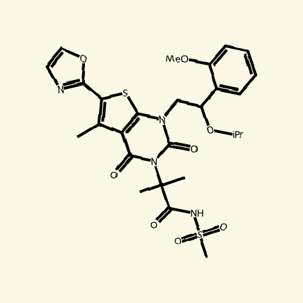 COc1ccccc1C(Cn1c(=O)n(C(C)(C)C(=O)NS(C)(=O)=O)c(=O)c2c(C)c(-c3ncco3)sc21)OC(C)C